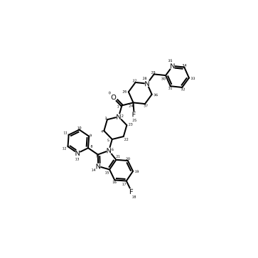 O=C(N1CCC(n2c(-c3ccccn3)nc3cc(F)ccc32)CC1)C1(F)CCN(Cc2ccccn2)CC1